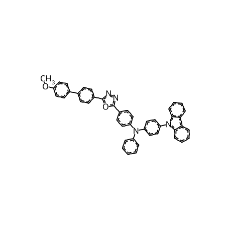 COc1ccc(-c2ccc(-c3nnc(-c4ccc(N(c5ccccc5)c5ccc(-n6c7ccccc7c7ccccc76)cc5)cc4)o3)cc2)cc1